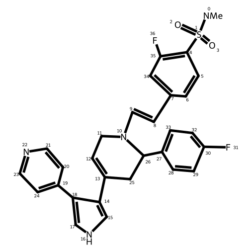 CNS(=O)(=O)c1ccc(C=CN2CC=C(c3c[nH]cc3-c3ccncc3)CC2c2ccc(F)cc2)cc1F